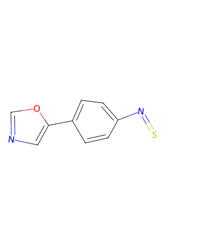 S=Nc1ccc(-c2cnco2)cc1